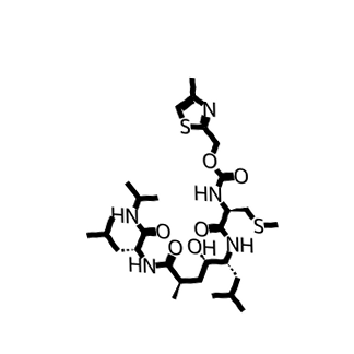 CSC[C@H](NC(=O)OCc1nc(C)cs1)C(=O)N[C@H](CC(C)C)[C@@H](O)C[C@@H](C)C(=O)N[C@H](CC(C)C)C(=O)NC(C)C